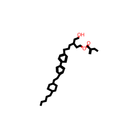 C=C(CC)C(=O)OCCC(CCO)CCCc1ccc(-c2ccc(CCC3CCC(CCCCC)CC3)cc2)cc1